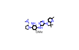 COc1cc(N2CCC[C@@H]2CN(C)C)c(N)cc1Nc1cc(N2CC(C)(C)c3nc(C)ccc32)ncn1